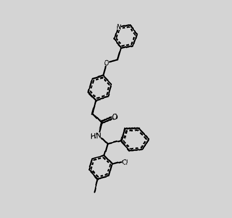 Cc1ccc(C(NC(=O)Cc2ccc(OCc3cccnc3)cc2)c2ccccc2)c(Cl)c1